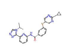 CC(C)n1cnnc1-c1cccc(NC(=O)c2cccc(Sc3cnc(C4CC4)nc3)c2)n1